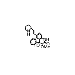 COC1C(=O)Nc2ccc(C=CC3CCCCN3)cc2C1(O)c1ccccc1